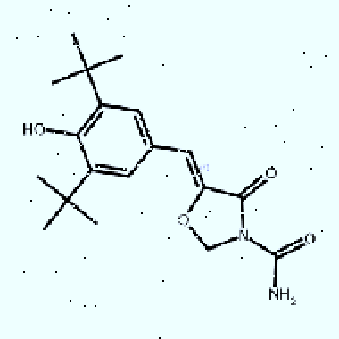 CC(C)(C)c1cc(/C=C2\OCN(C(N)=O)C2=O)cc(C(C)(C)C)c1O